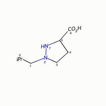 CC(C)CN1CCC(C(=O)O)N1